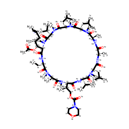 C/C=C/C[C@@H](C)[C@@H](OC(C)=O)[C@H]1C(=O)N[C@@H](CC)C(=O)N(C)[C@H](C)C(=O)N(C)[C@@H]([C@H](C)COC(=O)N2CCOCC2)C(=O)N[C@@H](C(C)C)C(=O)N(C)[C@@H](CC(C)C)C(=O)N[C@@H](C)C(=O)N[C@H](C)C(=O)N(C)[C@@H](CC(C)C)C(=O)N(C)[C@@H](CC(C)C)C(=O)N(C)[C@@H](C(C)C)C(=O)N1C